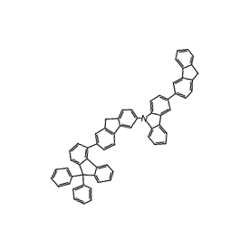 c1ccc(C2(c3ccccc3)c3ccccc3-c3c(-c4ccc5c(c4)Cc4ccc(-n6c7ccccc7c7cc(-c8ccc9c(c8)-c8ccccc8C9)ccc76)cc4-5)cccc32)cc1